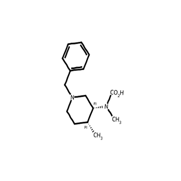 C[C@@H]1CCN(Cc2ccccc2)C[C@@H]1N(C)C(=O)O